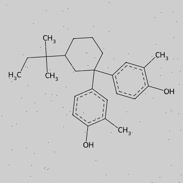 CCC(C)(C)C1CCCC(c2ccc(O)c(C)c2)(c2ccc(O)c(C)c2)C1